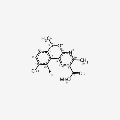 COC(=O)c1nc(-c2c([S+](C)[O-])ccc(Cl)c2F)cnc1C